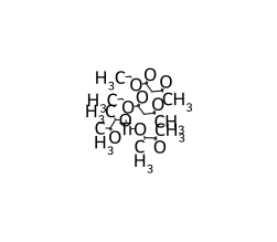 CC(=O)C(C)[O][Ti][O]C(C)C(C)=O.CCOC(=O)CC(C)=O.CCOC(=O)CC(C)=O